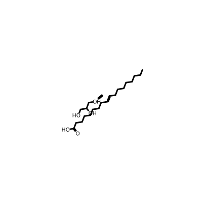 C=C.CCCCCCCCC=CCCCCCCCC(=O)O.OCC(O)CO